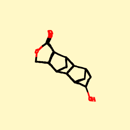 O=C1OCC2C3CC(C12)C1C2CC(O)C(C2)C31